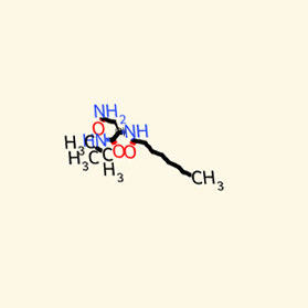 CCCCCCCC(=O)N[C@H](CC(N)=O)C(=O)NC(C)(C)C